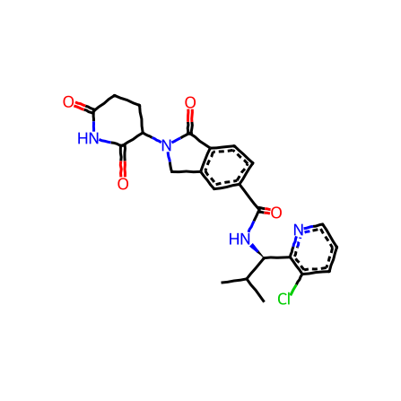 CC(C)[C@@H](NC(=O)c1ccc2c(c1)CN(C1CCC(=O)NC1=O)C2=O)c1ncccc1Cl